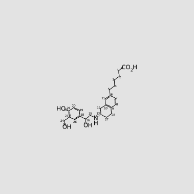 O=C(O)CCCCCc1ccc2c(c1)C[C@@H](NCC(O)c1ccc(O)c(CO)c1)CC2